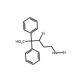 CCNCCC(CC)C(C(=O)O)(c1ccccc1)c1ccccc1